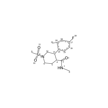 CNC(=O)C1CCN(S(C)(=O)=O)CC1c1ccc(F)cc1C